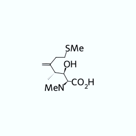 C=C(CCSC)[C@@H](C)[C@@H](O)[C@H](NC)C(=O)O